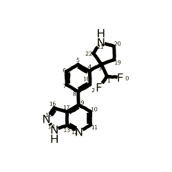 FC(F)C1(c2cccc(-c3ccnc4[nH]ncc34)c2)CCNC1